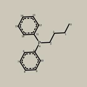 CCC[CH]P(c1ccccc1)c1ccccc1